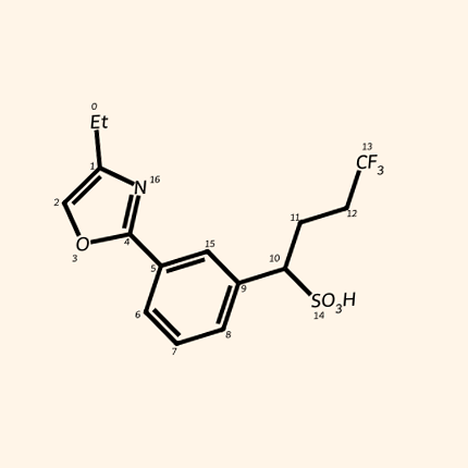 CCc1coc(-c2cccc(C(CCC(F)(F)F)S(=O)(=O)O)c2)n1